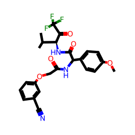 COc1ccc(C(NC(=O)COc2cccc(C#N)c2)C(=O)N[C@H](C(=O)C(F)(F)F)C(C)C)cc1